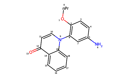 CCCOc1ccc(N)cc1-n1ccc(=O)c2ccccc21